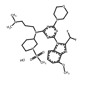 COc1cccc2c1nc(C(F)F)n2-c1nc(N2CCOCC2)nc(N(CCCN(C)C)C2CCCN(S(C)(=O)=O)C2)n1.Cl